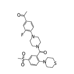 CC(=O)c1ccc(N2CCN(C(=O)c3cc(S(C)(=O)=O)ccc3N3CCSCC3)CC2)c(F)c1